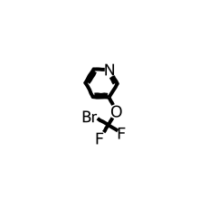 FC(F)(Br)Oc1cccnc1